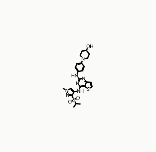 CC(C)S(=O)(=O)c1nn(C)cc1Nc1nc(Nc2ccc(N3CCC(O)CC3)cc2)nc2ccsc12